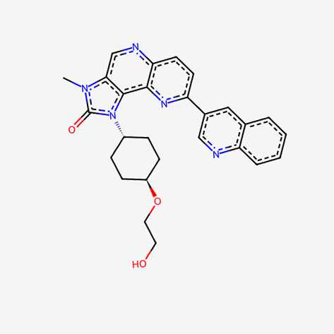 Cn1c(=O)n([C@H]2CC[C@H](OCCO)CC2)c2c3nc(-c4cnc5ccccc5c4)ccc3ncc21